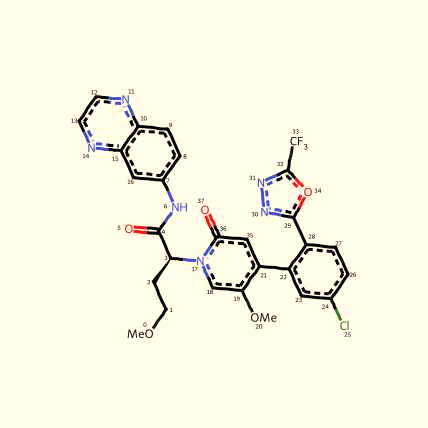 COCC[C@@H](C(=O)Nc1ccc2nccnc2c1)n1cc(OC)c(-c2cc(Cl)ccc2-c2nnc(C(F)(F)F)o2)cc1=O